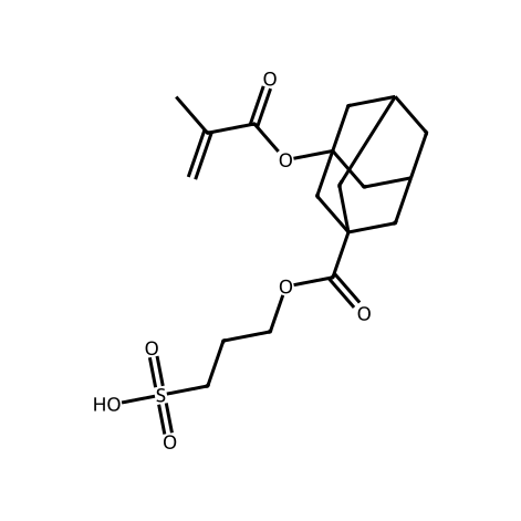 C=C(C)C(=O)OC12CC3CC(C1)CC(C(=O)OCCCS(=O)(=O)O)(C3)C2